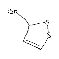 [Sn][CH]1C=CSS1